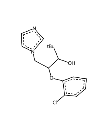 CC(C)(C)C(O)C(Cn1ccnc1)Oc1ccccc1Cl